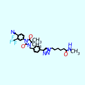 CNC(=O)CCCCCn1cc(-c2ccc(CN3C(=O)N(c4ccc(C#N)c(C(F)(F)F)c4)C(=O)C3(C)C)cc2)nn1